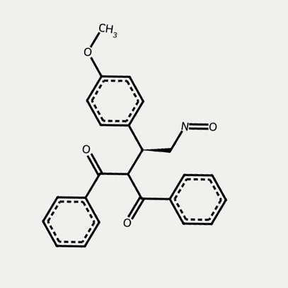 COc1ccc([C@@H](CN=O)C(C(=O)c2ccccc2)C(=O)c2ccccc2)cc1